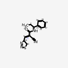 CCC(NC(=O)/C(C#N)=C/C1CSN=N1)c1ccccc1